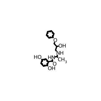 CC(NCC(O)COc1ccccc1)NC(=O)c1cc(O)ccc1O